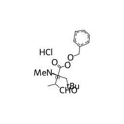 CN[C@](CC(C)(C)C)(C(=O)OOCc1ccccc1)C(C)C=O.Cl